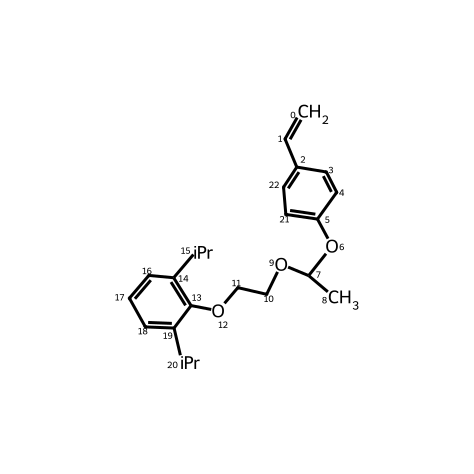 C=Cc1ccc(OC(C)OCCOc2c(C(C)C)cccc2C(C)C)cc1